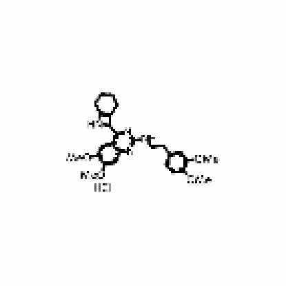 COc1ccc(CCNc2nc(C3NC4=C3CCCC4)c3cc(OC)c(OC)cc3n2)cc1OC.Cl